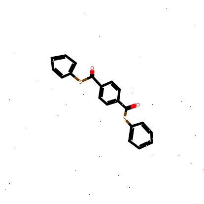 O=C(Sc1ccccc1)c1ccc(C(=O)Sc2ccccc2)cc1